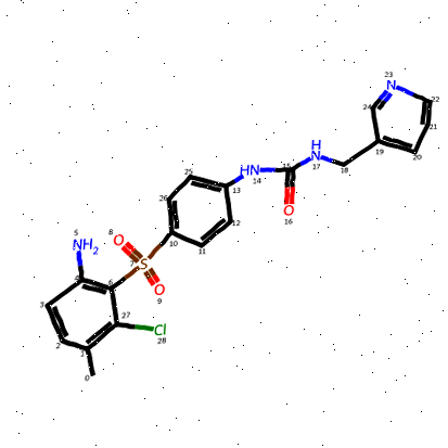 Cc1ccc(N)c(S(=O)(=O)c2ccc(NC(=O)NCc3cccnc3)cc2)c1Cl